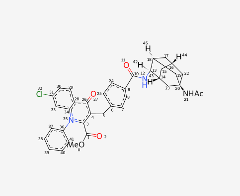 COC(=O)c1c(Cc2ccc(C(=O)N[C@@H]3[C@@H]4C[C@@H]5C[C@H]3C[C@](NC(C)=O)(C5)C4)cc2)c(=O)c2ccc(Cl)cc2n1-c1ccccc1